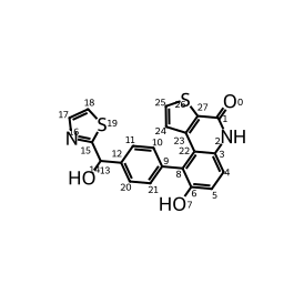 O=c1[nH]c2ccc(O)c(-c3ccc(C(O)c4nccs4)cc3)c2c2ccsc12